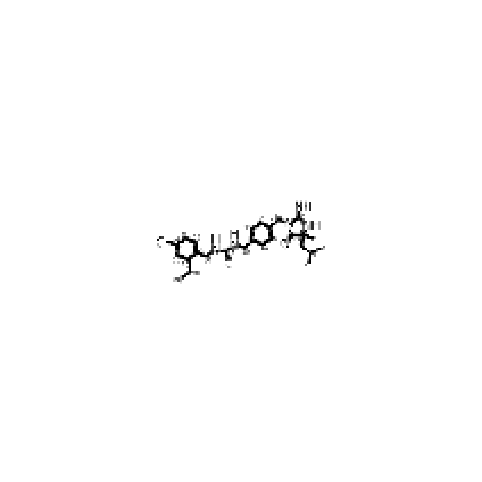 CC(C)CC1(C)NC(=N)N(Cc2ccc(CNC(=O)NCc3ccc(Cl)cc3CI)cc2)C1=O